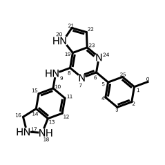 Cc1cccc(-c2nc(Nc3ccc4c(c3)CNN4)c3[nH]ccc3n2)c1